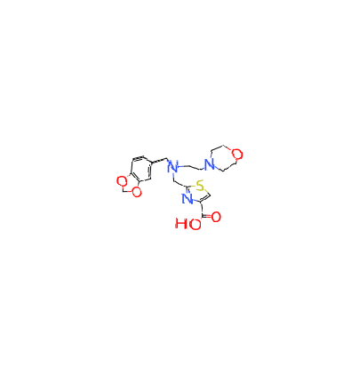 O=C(O)c1csc(CN(CCN2CCOCC2)Cc2ccc3c(c2)OCO3)n1